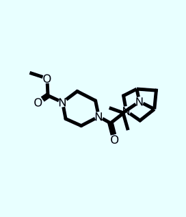 COC(=O)N1CCN(C(=O)N2CC3CC(C2)N3C(C)C)CC1